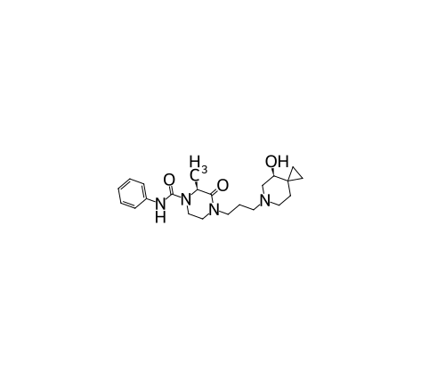 C[C@H]1C(=O)N(CCCN2CCC3(CC3)[C@H](O)C2)CCN1C(=O)Nc1ccccc1